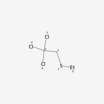 [CH2]CSCC(Cl)(Cl)Cl